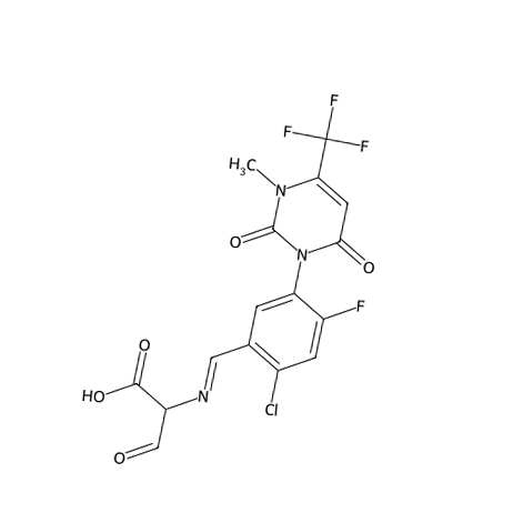 Cn1c(C(F)(F)F)cc(=O)n(-c2cc(/C=N/C(C=O)C(=O)O)c(Cl)cc2F)c1=O